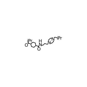 CC(C)CN1CCN(CCCNC(=O)C2CCC(C(=O)C(C)C)CC2)CC1